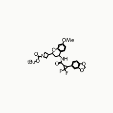 COc1ccc2c(c1)OC(C1CN(C(=O)OC(C)(C)C)C1)CC2NC(=O)C1C(c2ccc3c(c2)OCO3)C1(F)F